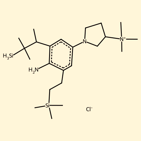 CC(c1cc(N2CCC([N+](C)(C)C)C2)cc(CC[Si](C)(C)C)c1N)C(C)(C)[SiH3].[Cl-]